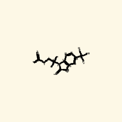 CC(=O)OCC(C)(C)n1c(=O)[nH]c2cc(C(F)(F)F)cnc21